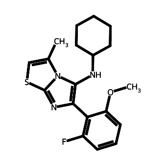 COc1cccc(F)c1-c1nc2scc(C)n2c1NC1CCCCC1